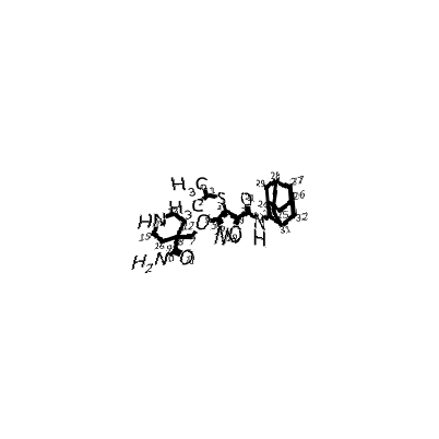 CC(C)Sc1c(OCC2(C(N)=O)CCNCC2)noc1C(=O)NC1C2CC3CC(C2)CC1C3